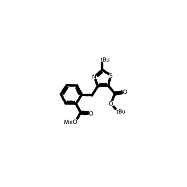 COC(=O)c1ccccc1Cc1nc(C(C)(C)C)sc1C(=O)OC(C)(C)C